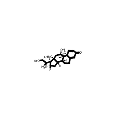 CC(=O)OCC(=O)[C@@]1(OC(C)=O)[C@@]2(C)C[C@H](O)[C@@]3(F)[C@@H](CCC4=CC(=O)C=C[C@@]43C)[C@@H]2C[C@@]1(C)F